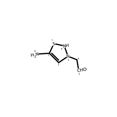 NC1=CN(C[C]=O)NS1